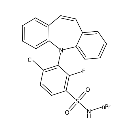 CCCNS(=O)(=O)c1ccc(Cl)c(N2c3ccccc3C=Cc3ccccc32)c1F